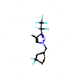 Cc1cn(CC2CCC(F)(F)C2)nc1C(F)(F)C(F)(F)F